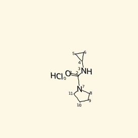 Cl.O=C(NC1CC1)N1CCCC1